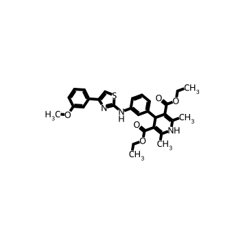 CCOC(=O)C1=C(C)NC(C)=C(C(=O)OCC)C1c1cccc(Nc2nc(-c3cccc(OC)c3)cs2)c1